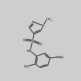 CNc1ccc(O)c(NS(=O)(=O)c2cnn(C)c2)c1